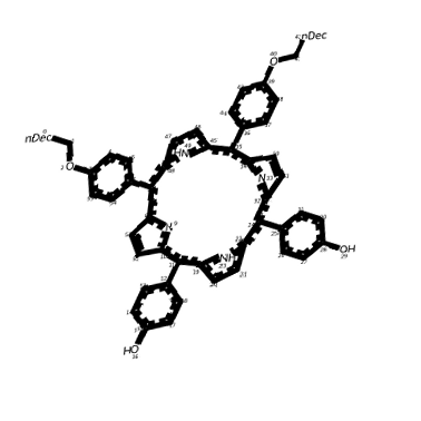 CCCCCCCCCCCOc1ccc(-c2c3nc(c(-c4ccc(O)cc4)c4ccc([nH]4)c(-c4ccc(O)cc4)c4nc(c(-c5ccc(OCCCCCCCCCCC)cc5)c5ccc2[nH]5)C=C4)C=C3)cc1